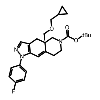 CC(C)(C)OC(=O)N1CCC2=Cc3c(cnn3-c3ccc(F)cc3)C[C@]2(COCC2CC2)C1